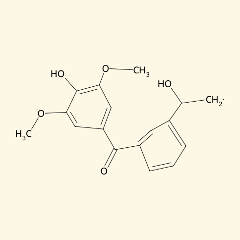 [CH2]C(O)c1cccc(C(=O)c2cc(OC)c(O)c(OC)c2)c1